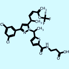 C=C(/C=C\C(C)c1cc(-c2cc(Cl)cc(Cl)c2)nn1C(C)c1ccc(C(=O)NCCC(=O)O)s1)OC(F)(F)F